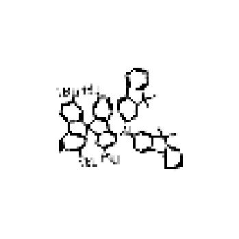 CC(C)(C)c1ccc2c(c1)C1(c3cc(C(C)(C)C)ccc3-2)c2cc(C(C)(C)C)ccc2-c2c(N(c3ccc4c(c3)C(C)(C)c3ccccc3-4)c3ccc4c(c3)C(C)(C)c3ccccc3-4)cc(C(C)(C)C)cc21